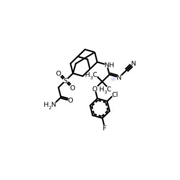 CC(C)(Oc1ccc(F)cc1Cl)/C(=N/C#N)NC1C2CC3CC1CC(S(=O)(=O)CC(N)=O)(C3)C2